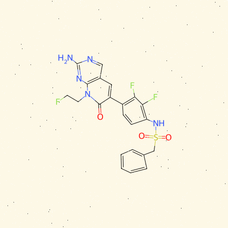 Nc1ncc2cc(-c3ccc(NS(=O)(=O)Cc4ccccc4)c(F)c3F)c(=O)n(CCF)c2n1